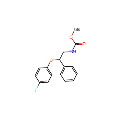 CC(C)(C)OC(=O)NCC(Oc1ccc(F)cc1)c1ccccc1